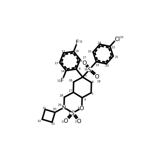 O=S1(=O)OC2CCC(c3cc(F)ccc3F)(S(=O)(=O)c3ccc(Cl)cc3)CC2CN1C1CCC1